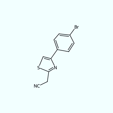 N#CCc1nc(-c2ccc(Br)cc2)cs1